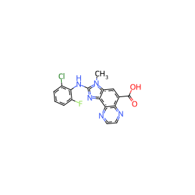 Cn1c(Nc2c(F)cccc2Cl)nc2c3nccnc3c(C(=O)O)cc21